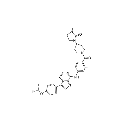 Cc1cc(Nc2nccn3c(-c4ccc(OC(F)F)cc4)cnc23)ccc1C(=O)N1CCC(N2CCNC2=O)CC1